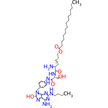 CCCCCCCCCCCCCCCC(=O)OCCSC[C@H](N)C(=O)N[C@@H](CO)C(=O)Nc1ccc(Cn2c(O)nc3c(N)nc(NCCCC)nc32)cc1